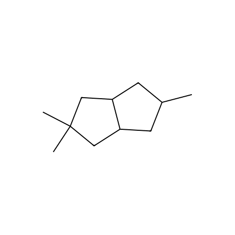 CC1CC2CC(C)(C)CC2C1